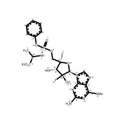 CCOC(=O)[C@@H](C)N[P@](=O)(OC[C@@]1(F)O[C@@H](n2cnc3c(NC)nc(N)nc32)[C@](C)(F)[C@@H]1O)Oc1ccccc1